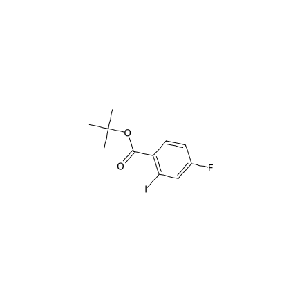 CC(C)(C)OC(=O)c1ccc(F)cc1I